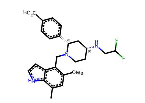 COc1cc(C)c2[nH]ccc2c1CN1CC[C@@H](NCC(F)F)C[C@H]1c1ccc(C(=O)O)cc1